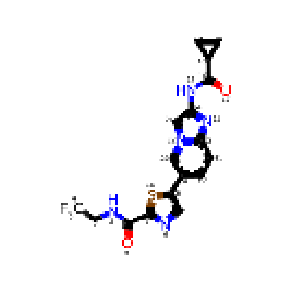 O=C(NCC(F)(F)F)c1ncc(-c2ccc3nc(NC(=O)C4CC4)cn3c2)s1